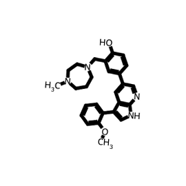 COc1ccccc1-c1c[nH]c2ncc(-c3ccc(O)c(CN4CCCN(C)CC4)c3)cc12